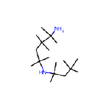 CC(C)(C)CC(C)(C)NC(C)(C)CC(C)(C)C(C)(C)N